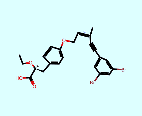 CCO[C@@H](Cc1ccc(OC/C=C(/C)C#Cc2cc(Br)cc(Br)c2)cc1)C(=O)O